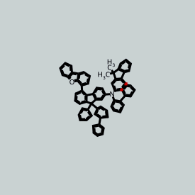 CC1(C)c2ccccc2-c2ccc(N(c3ccc4c(c3)C(c3ccccc3)(c3cccc(-c5ccccc5)c3)c3cccc(-c5cccc6c5oc5ccccc56)c3-4)c3ccccc3-c3ccccc3)cc21